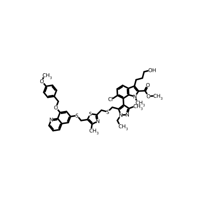 CCn1nc(C)c(-c2c(Cl)ccc3c(CCCO)c(C(=O)OC)n(C)c23)c1CSCc1nc(C)c(CSc2cc(OCc3ccc(OC)cc3)c3ncccc3c2)s1